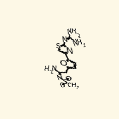 CS(=O)(=O)/N=C(/N)Cc1ccc(-c2csc(N=C(N)N)n2)o1